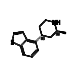 C[C@H]1C[C@H](c2cccc3sccc23)CCN1